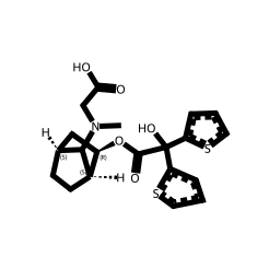 CN(CC(=O)O)C1[C@H]2CC[C@@H]1[C@H](OC(=O)C(O)(c1cccs1)c1cccs1)C2